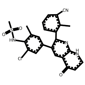 Cc1cc(-c2cc3c(=O)cc[nH]c3nc2-c2cccc(C#N)c2C)cc(Cl)c1NS(C)(=O)=O